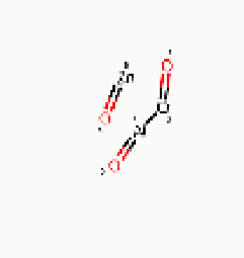 [O]=[Al][Cr]=[O].[O]=[Zn]